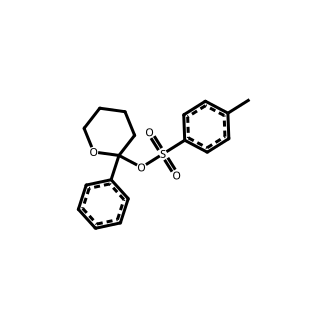 Cc1ccc(S(=O)(=O)OC2(c3ccccc3)CCCCO2)cc1